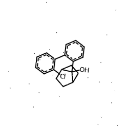 OC1(c2ccccc2-c2ccccc2Cl)C2CCC1CC2